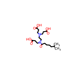 CC(C)CCCCC(=O)N(CCC(=O)O)CCN(CCC(=O)O)CCC(=O)O